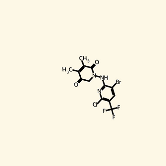 CC1=C(C)C(=O)N(Nc2nc(Cl)c(C(F)(F)F)cc2Br)CC1=O